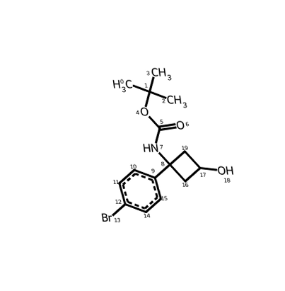 CC(C)(C)OC(=O)NC1(c2ccc(Br)cc2)CC(O)C1